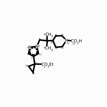 CCOC(=O)C1(c2cnn(CC(C)(C)C3CCN(C(=O)O)CC3)c2)CC1